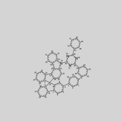 c1ccc(-c2ccc3c(c2)C2(c4ccccc4-3)c3ccccc3-c3c2ccc2c3c3ccccc3n2-c2nc(-c3ccccc3)nc(-c3ccccc3)n2)cc1